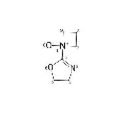 [O-][N+]1(C2=NCCO2)CCC1